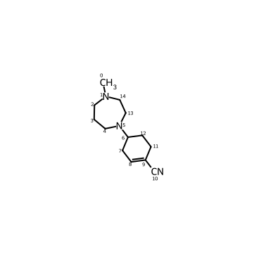 CN1CCCN(C2CC=C(C#N)CC2)CC1